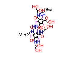 COCCNN(CC(O)CO)C(=O)c1c(I)c(C(=O)CO)c(I)c(C(=O)NCC(=O)N(CCOC)c2c(I)c(C(=O)NCC(O)CO)c(I)c(C(=O)NCC(O)CO)c2I)c1I